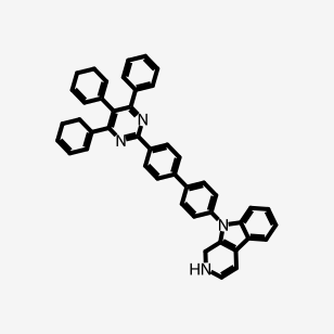 C1=CCCC(c2nc(-c3ccc(-c4ccc(-n5c6c(c7ccccc75)C=CNC6)cc4)cc3)nc(-c3ccccc3)c2C2=CCCC=C2)=C1